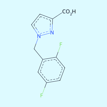 O=C(O)c1ccn(Cc2cc(F)ccc2F)n1